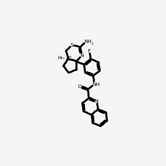 NC1=NC2(c3cc(NC(=O)c4ccc5ccccc5n4)ccc3F)CCC[C@H]2CS1